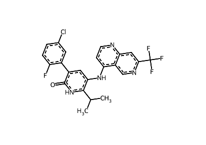 CC(C)c1[nH]c(=O)c(-c2cc(Cl)ccc2F)cc1Nc1ccnc2cc(C(F)(F)F)ncc12